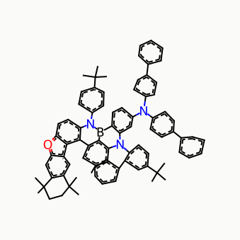 Cc1cc2c3c(c1)N(c1ccc(C(C)(C)C)cc1-c1ccccc1)c1cc(N(c4ccc(-c5ccccc5)cc4)c4ccc(-c5ccccc5)cc4)ccc1B3N(c1ccc(C(C)(C)C)cc1)c1ccc3oc4cc5c(cc4c3c1-2)C(C)(C)CCC5(C)C